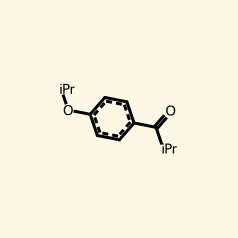 CC(C)Oc1ccc(C(=O)C(C)C)cc1